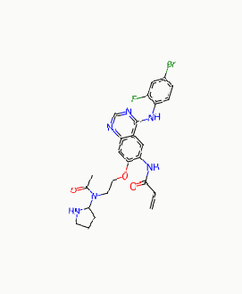 C=CC(=O)Nc1cc2c(Nc3ccc(Br)cc3F)ncnc2cc1OCCN(C(C)=O)C1CCCN1